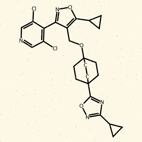 Clc1cncc(Cl)c1-c1noc(C2CC2)c1COC12CCC(c3nc(C4CC4)no3)(CC1)CC2